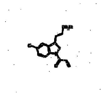 C=CC(=O)N1CC(CCC(=O)OCC)c2cc(Cl)ccc21